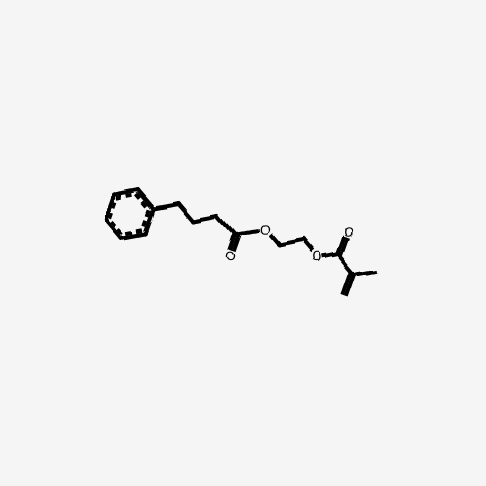 C=C(C)C(=O)OCCOC(=O)CCCc1ccccc1